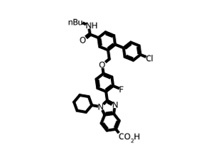 CCCCNC(=O)c1ccc(-c2ccc(Cl)cc2)c(COc2ccc(-c3nc4cc(C(=O)O)ccc4n3C3CCCCC3)c(F)c2)c1